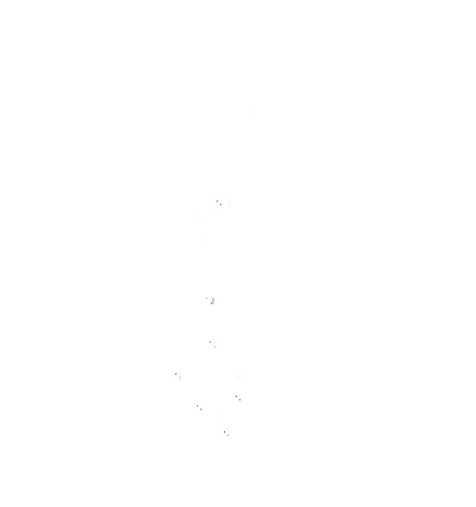 CCCCCCCNC(=O)c1ccc(NCc2cnc3nc(N)[nH]c(=O)c3n2)cc1